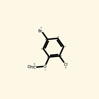 O=COc1cc(Br)ccc1Cl